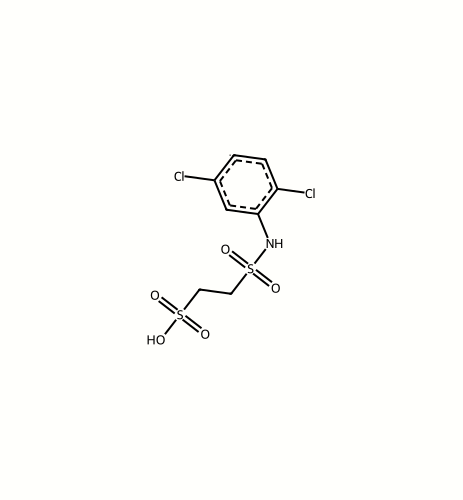 O=S(=O)(O)CCS(=O)(=O)Nc1cc(Cl)[c]cc1Cl